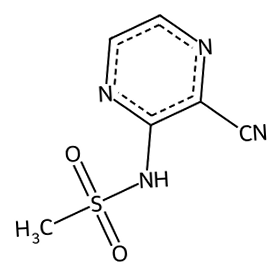 CS(=O)(=O)Nc1nccnc1C#N